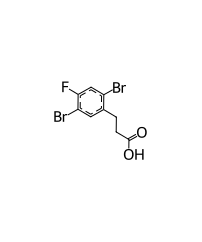 O=C(O)CCc1cc(Br)c(F)cc1Br